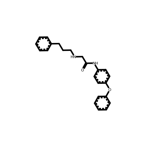 O=C(CNCCCc1ccccc1)Nc1ccc(Oc2ccccc2)cc1